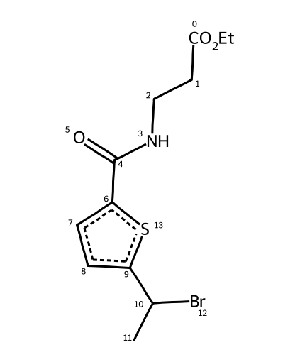 CCOC(=O)CCNC(=O)c1ccc(C(C)Br)s1